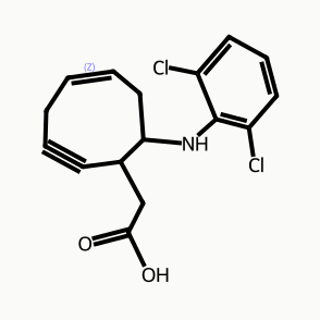 O=C(O)CC1C#CC/C=C\CC1Nc1c(Cl)cccc1Cl